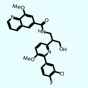 COc1ccc(C(CO)CNC(=O)c2cc(OC)c3ncccc3c2)nc1-c1ccc(F)c(Cl)c1